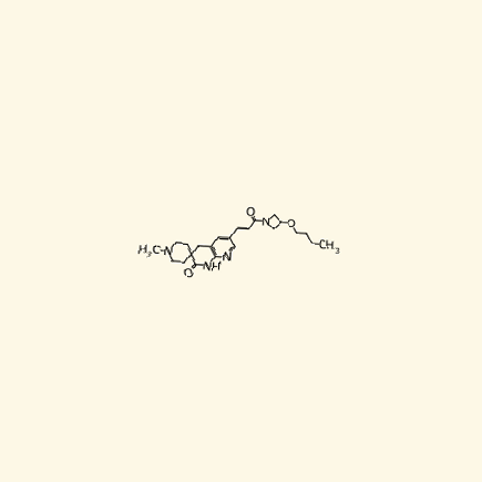 CCCCOC1CN(C(=O)C=Cc2cnc3c(c2)CC2(CCN(C)CC2)C(=O)N3)C1